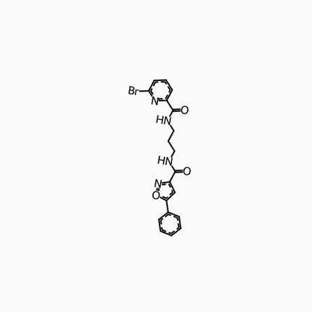 O=C(NCCCNC(=O)c1cccc(Br)n1)c1cc(-c2ccccc2)on1